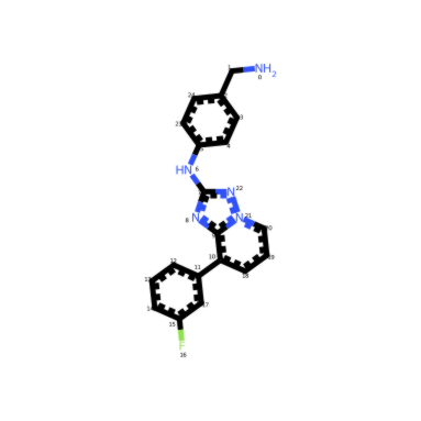 NCc1ccc(Nc2nc3c(-c4cccc(F)c4)cccn3n2)cc1